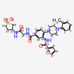 Cc1ccccc1N1CCN(c2ccc(C(=O)NCC(=O)NC3CCS(=O)(=O)C3)cc2NC(=O)c2ccco2)CC1